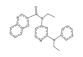 CCN(C(=O)c1cnc2ccccc2c1)c1ccnc(N(CC)c2ccccc2)c1